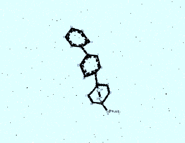 CCCCCC12CCC(c3ccc(-c4cc[c]cc4)cc3)(CC1)CC2